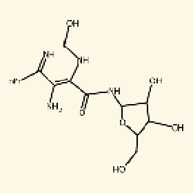 CCCC(=N)/C(N)=C(\NCO)C(=O)NC1OC(CO)C(O)C1O